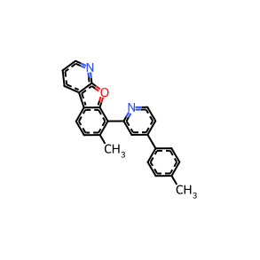 Cc1ccc(-c2ccnc(-c3c(C)ccc4c3oc3ncccc34)c2)cc1